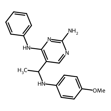 COc1ccc(NC(C)c2cnc(N)nc2Nc2ccccc2)cc1